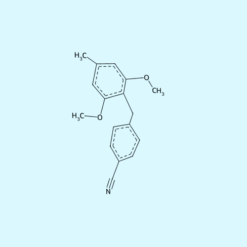 COc1cc(C)cc(OC)c1Cc1ccc(C#N)cc1